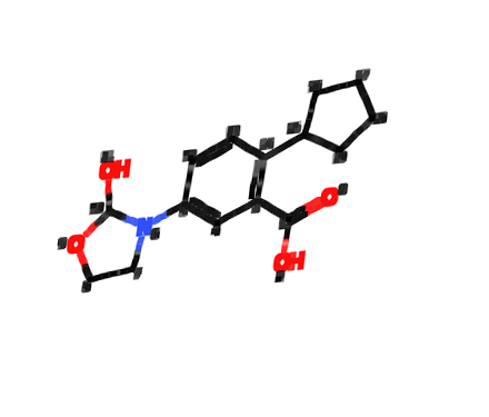 O=C(O)c1cc(N2CCOC2O)ccc1C1CCCC1